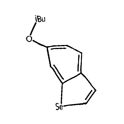 CCC(C)Oc1ccc2cc[se]c2c1